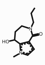 CCCN1CCC(O)c2c(ccn2C)C1=O